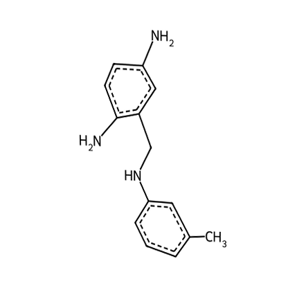 Cc1cccc(NCc2cc(N)ccc2N)c1